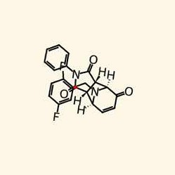 O=C1C=C[C@H]2[C@@H]3C(=O)N(c4ccccc4)C(=O)[C@@H]3[C@@H]1N2Cc1cc(F)ccc1F